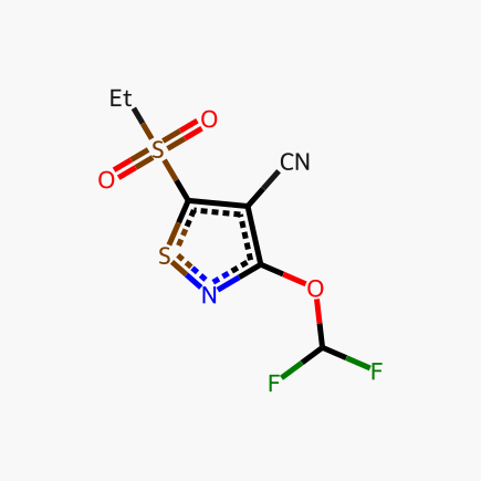 CCS(=O)(=O)c1snc(OC(F)F)c1C#N